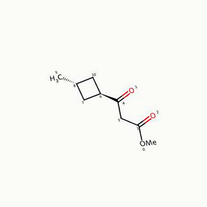 COC(=O)CC(=O)[C@H]1C[C@H](C)C1